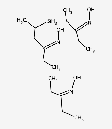 CCC(CC(C)[SiH3])=NO.CCC(CC)=NO.CCC(CC)=NO